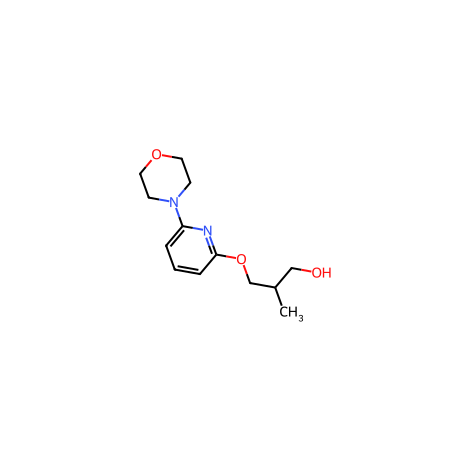 CC(CO)COc1cccc(N2CCOCC2)n1